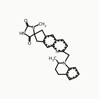 CC1CCc2ccccc2N1Cc1ccc2cc3c(cc2n1)CC1(C3)C(=O)NC(=O)N1C